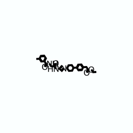 CCOC(=O)Cc1ccc(C2CCC(N3CC(NC(=O)CNC(=O)c4cccc(C)c4)C3)CC2)cc1